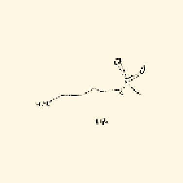 Br.CS(=O)(=O)SCCCN